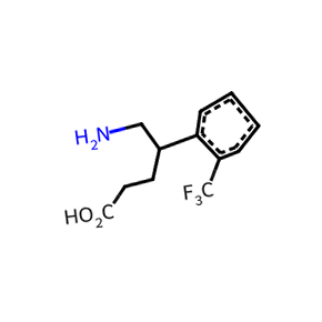 NCC(CCC(=O)O)c1ccccc1C(F)(F)F